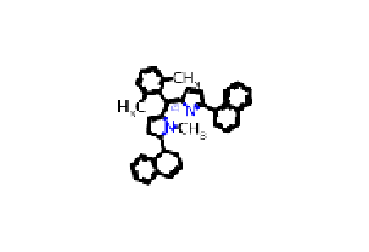 Cc1cccc(C)c1/C(C1=CCC(C2CC=Cc3ccccc32)N1C)=C1\C=CC(c2cccc3ccccc23)=N1